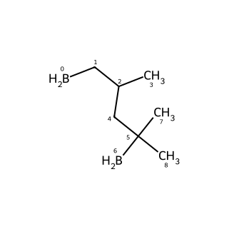 BCC(C)CC(B)(C)C